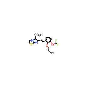 CC(C)CCOc1c(C=Cc2nc3sccn3c2C(=O)O)cccc1OC(F)F